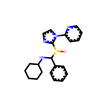 [O-][S+](c1nccn1-c1ccccn1)C(NC1CCCCC1)c1ccccc1